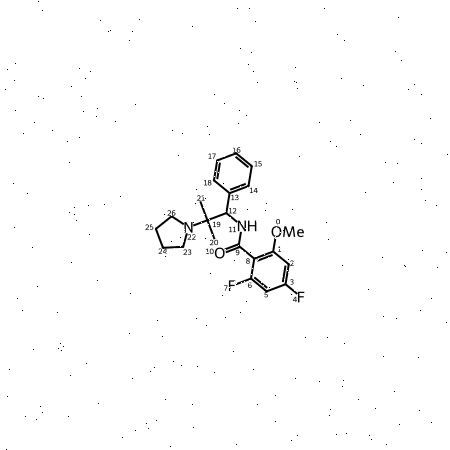 COc1cc(F)cc(F)c1C(=O)NC(c1ccccc1)C(C)(C)N1CCCC1